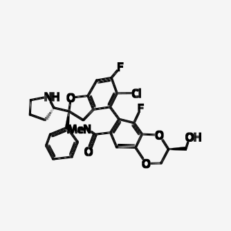 CNC(=O)c1cc2c(c(F)c1-c1c(Cl)c(F)cc3c1C[C@](c1ccccc1)([C@@H]1CCCN1)O3)O[C@@H](CO)CO2